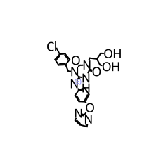 O=c1[nH]/c(=N\c2ccc(Oc3ncccn3)cc2)n(Cc2ccc(Cl)cc2)c(=O)n1CC(CO)CO